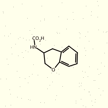 O=C(O)NC1COc2ccccc2C1